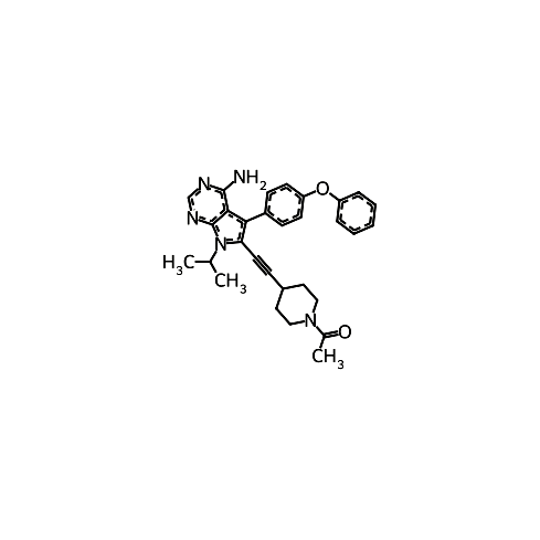 CC(=O)N1CCC(C#Cc2c(-c3ccc(Oc4ccccc4)cc3)c3c(N)ncnc3n2C(C)C)CC1